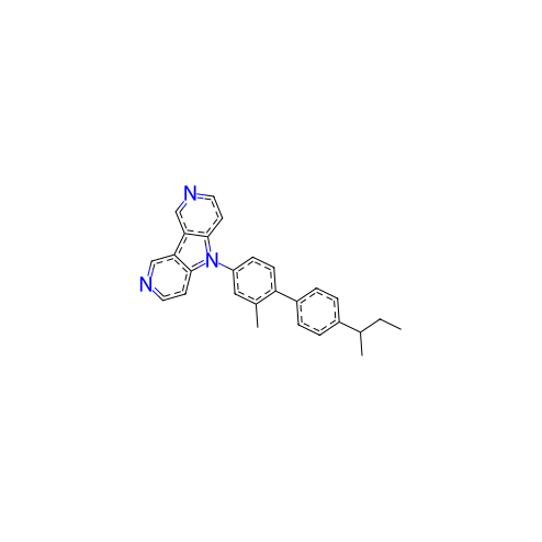 CCC(C)c1ccc(-c2ccc(-n3c4ccncc4c4cnccc43)cc2C)cc1